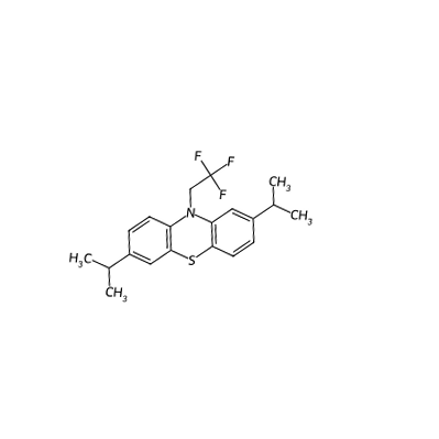 CC(C)c1ccc2c(c1)Sc1ccc(C(C)C)cc1N2CC(F)(F)F